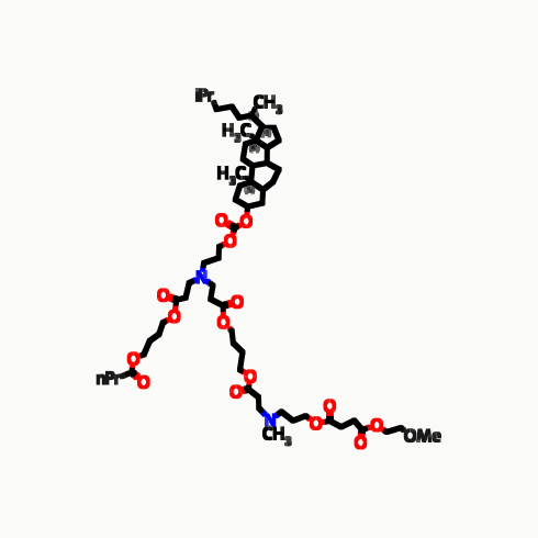 CCCC(=O)OCCCCOC(=O)CCN(CCCOC(=O)OC1CC[C@@]2(C)C(CCC3C2CC[C@@]2(C)C3CC[C@@H]2[C@H](C)CCCC(C)C)C1)CCC(=O)OCCCCOC(=O)CCN(C)CCCOC(=O)CCC(=O)OCCOC